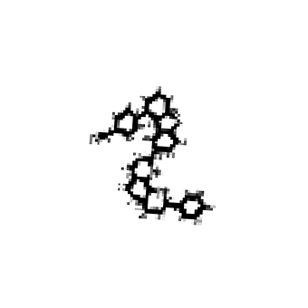 N#Cc1ccc(-c2cccc3sc4ccc(-c5ccc6ccc7ccc(-c8ccccc8)nc7c6n5)cc4c23)cc1